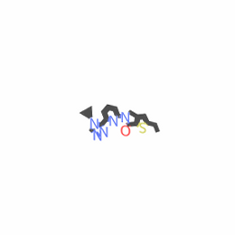 CCc1cc2c(s1)C(=O)N(c1cccc(-c3nncn3C3CC3)n1)C2